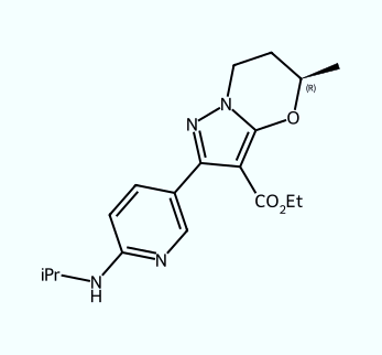 CCOC(=O)c1c(-c2ccc(NC(C)C)nc2)nn2c1O[C@H](C)CC2